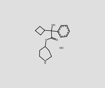 Cl.O=C(OC1CCNCC1)C(O)(c1ccccc1)C1CCC1